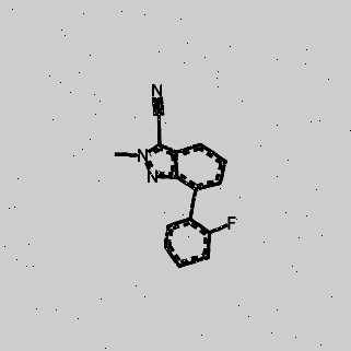 Cn1nc2c(-c3ccccc3F)cccc2c1C#N